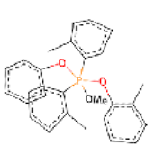 COP(Oc1ccccc1)(Oc1ccccc1C)(c1ccccc1C)c1ccccc1C